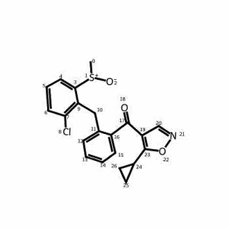 C[S+]([O-])c1cccc(Cl)c1Cc1ccccc1C(=O)c1cnoc1C1CC1